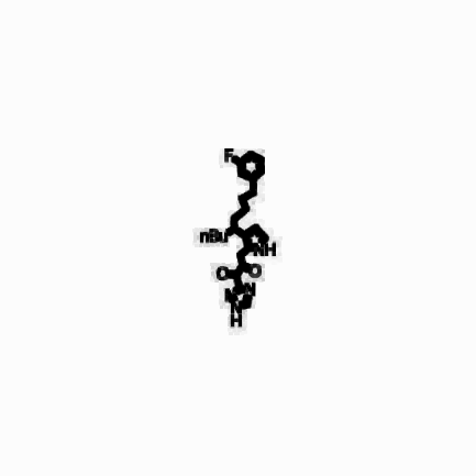 CCCCC(CCCCc1cccc(F)c1)c1cc[nH]c1CC(=O)C(=O)c1nc[nH]n1